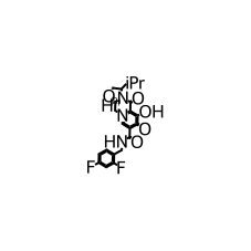 CC(C)C1CO[C@@H]2Cn3cc(C(=O)NCc4ccc(F)cc4F)c(=O)c(O)c3C(=O)N12